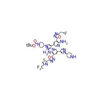 CC(C)(C)OC(=O)N1CCC(n2cc(-c3cnc(N)c(-c4nnc(CC5CC5)o4)c3)cn2)CC1.Nc1ncc(-c2cnn(C3CCNCC3)c2)cc1-c1nnc(-c2nc(C(F)(F)F)cs2)o1